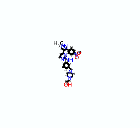 Cn1cc(-c2ccnc(Nc3cccc(CN4CCN(CCO)CC4)c3)n2)c(-c2ccc([N+](=O)[O-])cc2)n1